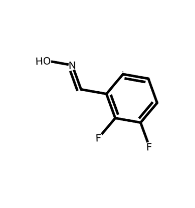 ON=Cc1[c]ccc(F)c1F